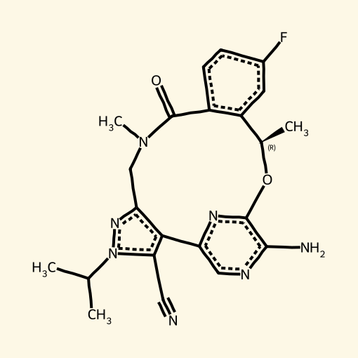 CC(C)n1nc2c(c1C#N)-c1cnc(N)c(n1)O[C@H](C)c1cc(F)ccc1C(=O)N(C)C2